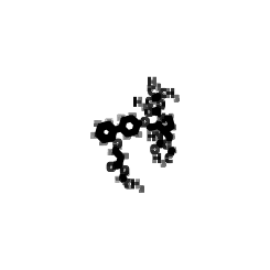 CCOCC1(NC=O)CCN(C(=O)OC(C)(C)C)C1COC1CCC(c2ccccc2OCCC(=O)OCC)CC1